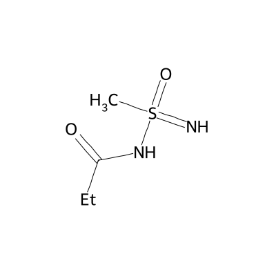 CCC(=O)NS(C)(=N)=O